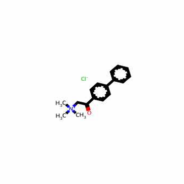 C[N+](C)(C)CC(=O)c1ccc(-c2ccccc2)cc1.[Cl-]